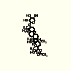 CC(=O)O[C@@H](C1C[C@@H](C)[C@H]2[C@H](O1)[C@H](O)[C@@]1(C)C3CC[C@H]4C(C)(C)[C@@H](O[C@@H]5OC[C@@H](O)[C@H](O)[C@H]5O)CCC45C[C@@]35CC[C@]21C)C(C)(C)O